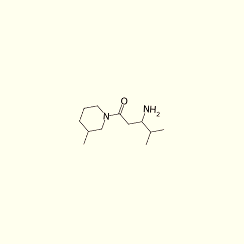 CC1CCCN(C(=O)CC(N)C(C)C)C1